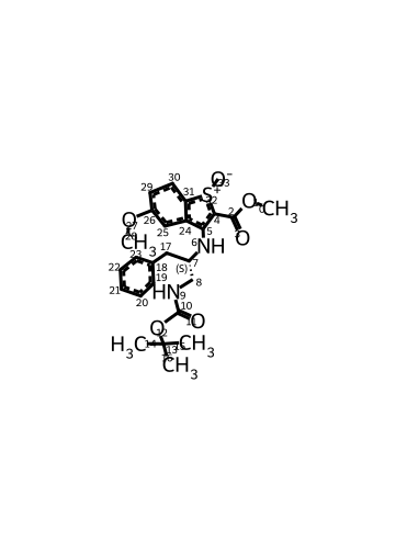 COC(=O)c1c(N[C@H](CNC(=O)OC(C)(C)C)Cc2ccccc2)c2cc(OC)ccc2[s+]1[O-]